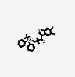 CC(C)(CO[Si](c1ccccc1)(c1ccccc1)C(C)(C)C)C(=O)c1c[nH]c2cc(F)c(Br)cc12